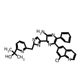 CC(C)(O)c1cccc(CC2N=CC(c3nc(-c4cc(Cl)c5ncccc5c4)c(-c4ccccc4)nc3N)=N2)n1